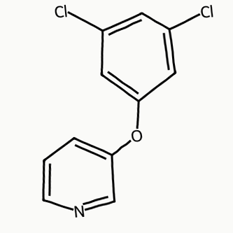 Clc1cc(Cl)cc(Oc2cccnc2)c1